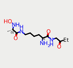 CCC(=O)CNC(=O)[C@@H](N)CCCCNC(=O)[C@H](C)NO